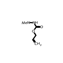 C=CCOC(=O)NNC